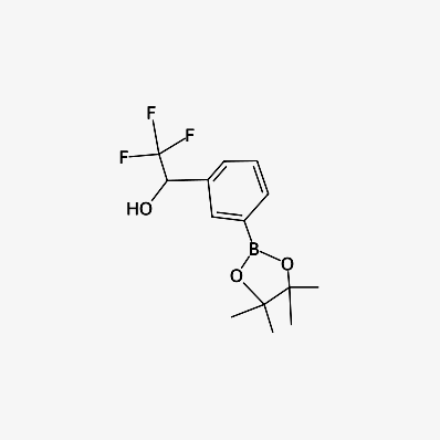 CC1(C)OB(c2cccc(C(O)C(F)(F)F)c2)OC1(C)C